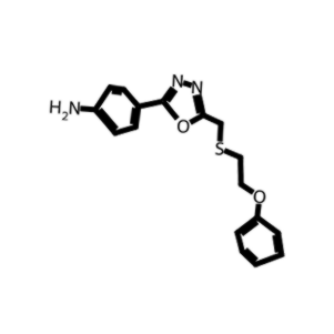 Nc1ccc(-c2nnc(CSCCOc3ccccc3)o2)cc1